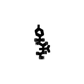 Cc1ccc(S(=O)(=O)NC(=O)C(C)(NC(=O)O)C(C)C)cc1